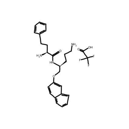 NCCC[C@@H](COc1ccc2ccccc2c1)NC(=O)[C@@H](N)CCc1ccccc1.O=C(O)C(F)(F)F